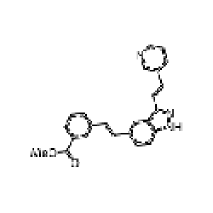 COC(=O)c1cccc(C=Cc2ccc3[nH]nc(C=Cc4cccnc4)c3c2)c1